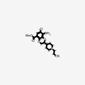 COC(=O)c1cc(Cl)c(N)c2c1OCC(C1CCN(CCC#N)CC1)O2